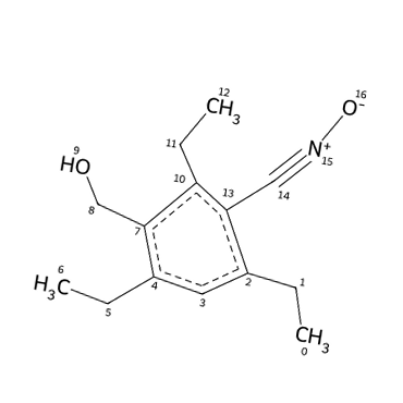 CCc1cc(CC)c(CO)c(CC)c1C#[N+][O-]